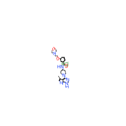 Cc1cnc2[nH]cnc(N3CCC(NC(=O)c4cccc(OCCN5CCOCC5)c4)CC3)c1-2.Cl